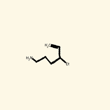 C=CC(CC)CCCN